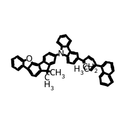 C=C(/C=C\C(=C/C)c1cccc2ccccc12)c1ccc2c(c1)c1ccccc1n2-c1ccc2c(c1)C(C)(C)c1ccc3c(oc4ccccc43)c1-2